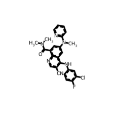 CN(C)C(=O)c1cc(N(C)c2ccccn2)cc2c(Nc3ccc(F)c(Cl)c3)c(C#N)cnc12